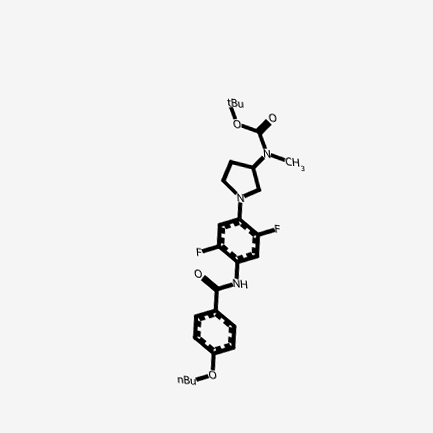 CCCCOc1ccc(C(=O)Nc2cc(F)c(N3CCC(N(C)C(=O)OC(C)(C)C)C3)cc2F)cc1